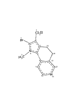 CCOC(=O)c1c2c(n(C)c1Br)-c1ccncc1CC2